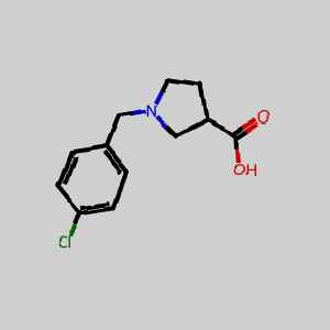 O=C(O)C1CCN(Cc2ccc(Cl)cc2)C1